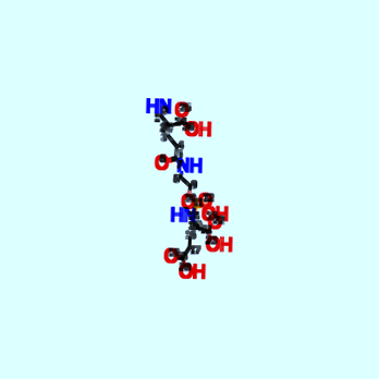 N=C[C@@H](CCC(=O)NCCOP(=O)(O)N[C@@H](CCC(=O)O)C(=O)O)C(=O)O